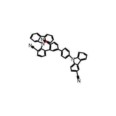 N#Cc1ccc2c(c1)c1ccccc1n2-c1ccc(-c2ccc(C#N)c(-c3cccc(C#N)c3-n3c4ccccc4c4ccccc43)c2)cc1